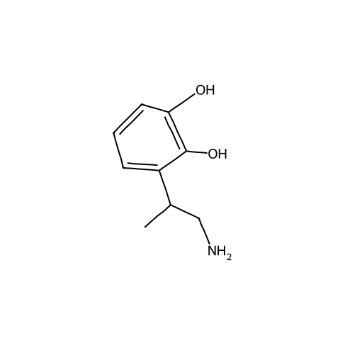 CC(CN)c1cccc(O)c1O